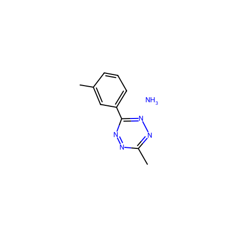 Cc1cccc(-c2nnc(C)nn2)c1.N